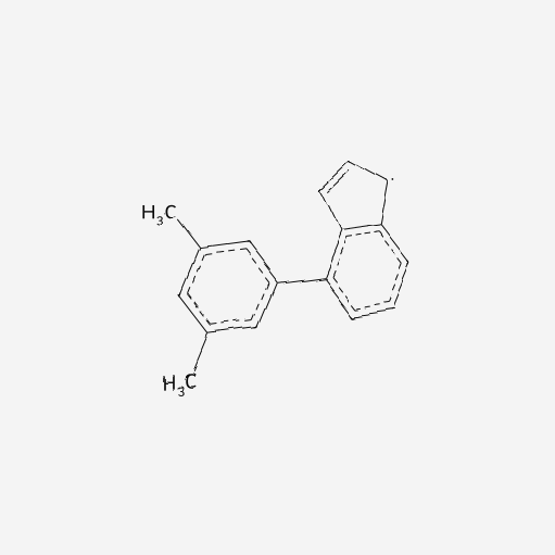 Cc1cc(C)cc(-c2cccc3c2C=C[CH]3)c1